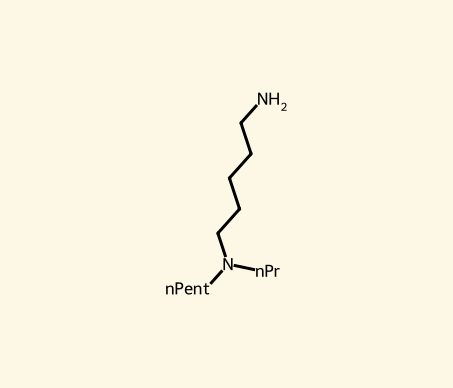 CCCCCN(CCC)CCCCCN